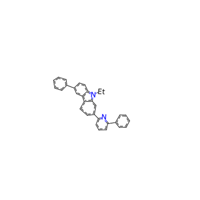 CCn1c2ccc(-c3ccccc3)cc2c2ccc(-c3cccc(-c4ccccc4)n3)cc21